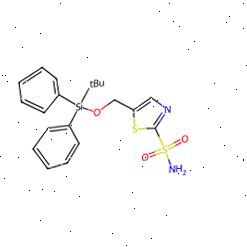 CC(C)(C)[Si](OCc1cnc(S(N)(=O)=O)s1)(c1ccccc1)c1ccccc1